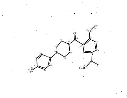 CC(C)Oc1ccc(C(C)C=O)cc1C(=O)N1CCN(c2ccc(C(F)(F)F)cc2)CC1